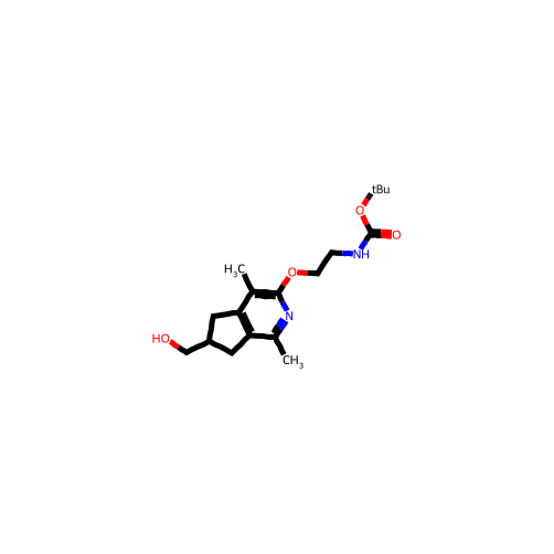 Cc1nc(OCCNC(=O)OC(C)(C)C)c(C)c2c1CC(CO)C2